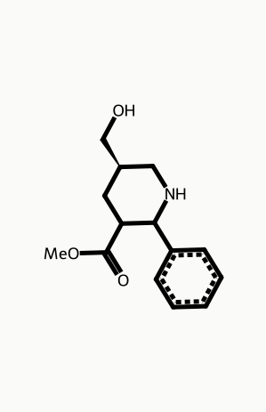 COC(=O)C1C[C@@H](CO)CNC1c1ccccc1